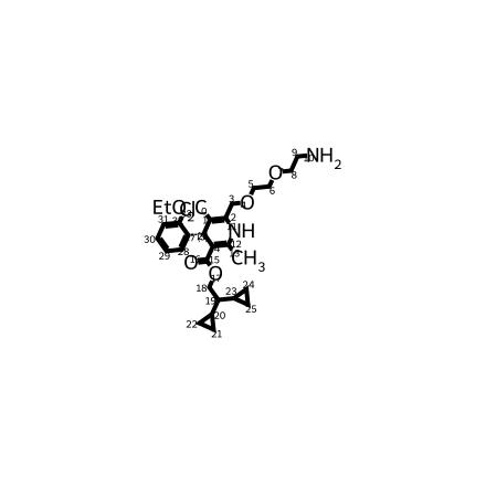 CCOC(=O)C1=C(COCCOCCN)NC(C)=C(C(=O)OCC(C2CC2)C2CC2)[C@@H]1c1ccccc1Cl